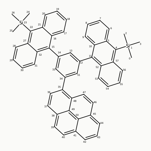 C[Si](C)(C)c1c2ccccc2c(-c2cc(-c3c4ccccc4c([Si](C)(C)C)c4ccccc34)cc(-c3ccc4ccc5cccc6ccc3c4c56)c2)c2ccccc12